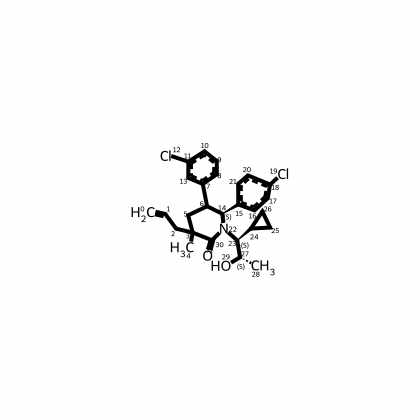 C=CCC1(C)CC(c2cccc(Cl)c2)[C@@H](c2ccc(Cl)cc2)N([C@@H](C2CC2)[C@H](C)O)C1=O